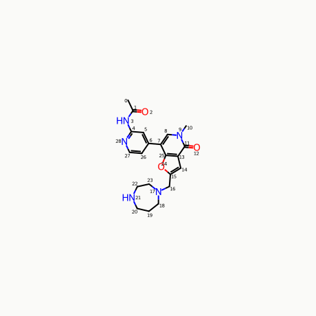 CC(=O)Nc1cc(-c2cn(C)c(=O)c3cc(CN4CCCNCC4)oc23)ccn1